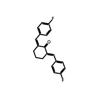 O=C1C(=Cc2ccc(F)cc2)CCCC1=Cc1ccc(F)cc1